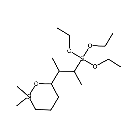 CCO[Si](OCC)(OCC)C(C)C(C)C1CCC[Si](C)(C)O1